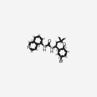 CC1(C)CC(NC(=O)Nc2cccc3cnccc23)c2cc(Br)ccc2O1